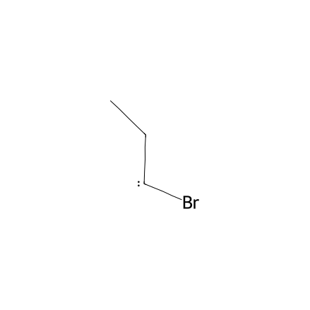 CC[C]Br